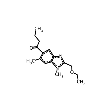 CCCC(=O)c1cc2nc(COCC)n(C)c2cc1C